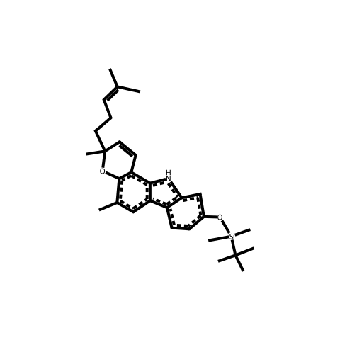 CC(C)=CCCC1(C)C=Cc2c(c(C)cc3c2[nH]c2cc(O[Si](C)(C)C(C)(C)C)ccc23)O1